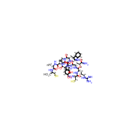 CCC[C@H](NC(=O)[C@@H](NC(=O)[C@@H]1C[C@@H](O)CN1C(=O)[C@@H]1CCCN1C(=O)[C@H](Cc1c[nH]c2ccccc12)NC(=O)[C@H](Cc1ccc(O)cc1)NC(=O)[C@H](CCC(N)=O)NC(=O)[C@H](CCCNC(=N)N)NC(=O)[C@@H](N)CS)[C@@H](C)CC)C(=O)N[C@@H](CS)C(=O)O